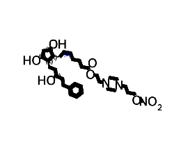 O=C(CCC/C=C\C[C@@H]1[C@@H](CC[C@@H](O)CCc2ccccc2)[C@H](O)C[C@@H]1O)OCCN1CCN(CCCO[N+](=O)[O-])CC1